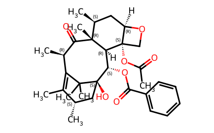 CC(=O)O[C@@]12CO[C@@H]1C[C@H](C)[C@@]1(C)C(=O)[C@H](C)C3=C(C)[C@@H](C)C[C@@](O)([C@@H](OC(=O)c4ccccc4)[C@H]21)C3(C)C